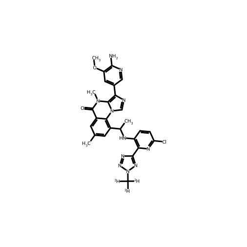 [2H]C([2H])([2H])n1nnc(-c2nc(Cl)ccc2NC(C)c2cc(C)cc3c(=O)n(C)c4c(-c5cnc(N)c(OC)c5)ncn4c23)n1